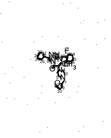 Cc1c(N2CCN(Cc3ccco3)CC2)c(=O)n(C[C@@H](N)c2ccccc2)c(=O)n1Cc1c(F)cccc1C(F)(F)F